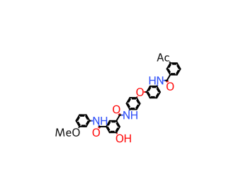 COc1cccc(NC(=O)c2cc(O)cc(C(=O)Nc3ccc(Oc4cccc(NC(=O)c5cccc(C(C)=O)c5)c4)cc3)c2)c1